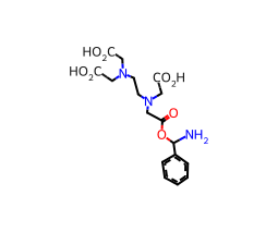 NC(OC(=O)CN(CCN(CC(=O)O)CC(=O)O)CC(=O)O)c1ccccc1